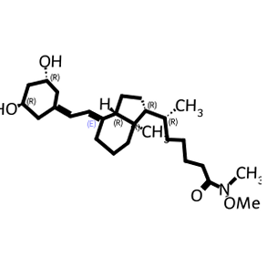 CON(C)C(=O)CCCC[C@@H](C)[C@H]1CC[C@H]2/C(=C/C=C3C[C@@H](O)C[C@H](O)C3)CCC[C@]12C